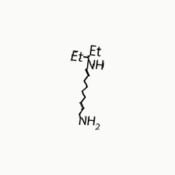 CCC(CC)NCCCCCCCCCN